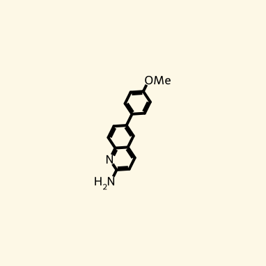 COc1ccc(-c2ccc3nc(N)ccc3c2)cc1